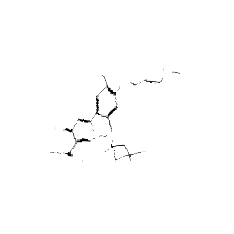 COCCCOc1cc2c(cc1Cl)-c1cc(=O)c(C(C)=O)cn1N(C1(C)CC(F)(F)C1)C2